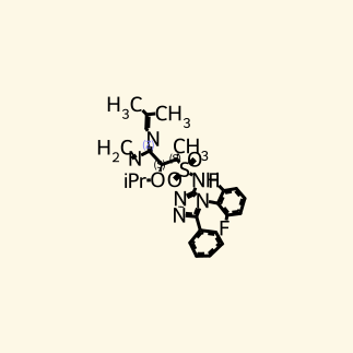 C=N/C(=N\C=C(C)C)[C@H](OC(C)C)[C@H](C)S(=O)(=O)Nc1nnc(-c2ccccc2)n1-c1c(F)cccc1F